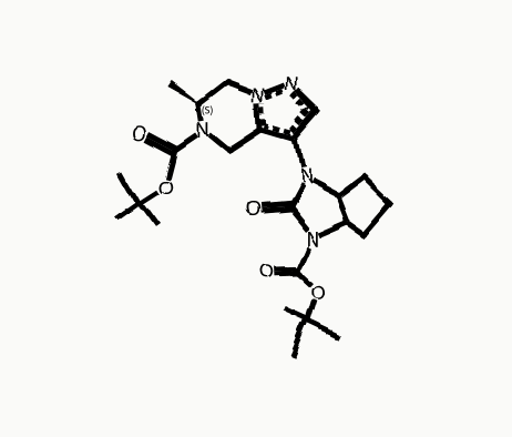 C[C@H]1Cn2ncc(N3C(=O)N(C(=O)OC(C)(C)C)C4CCCC43)c2CN1C(=O)OC(C)(C)C